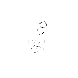 C=CN(CCNC1CCC[Si](OC)(OC)C1(CCC)OC)Cc1ccccc1.Cl